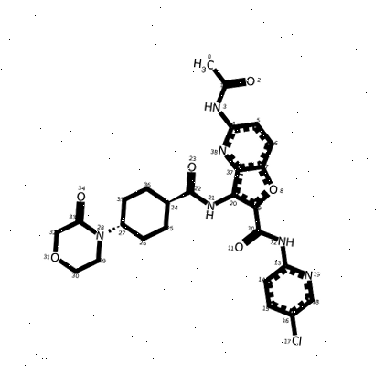 CC(=O)Nc1ccc2oc(C(=O)Nc3ccc(Cl)cn3)c(NC(=O)[C@H]3CC[C@H](N4CCOCC4=O)CC3)c2n1